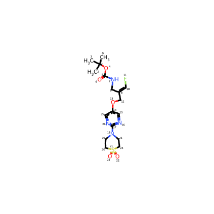 CC(C)(C)OC(=O)NC/C(=C\F)COc1cnc(N2CCS(=O)(=O)CC2)nc1